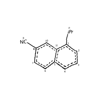 CC(C)c1cccc2ccc(C#N)cc12